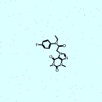 CCN(C(=O)Cn1cnc2c1c(=O)n(C)c(=O)n2C)c1ccc(F)cc1